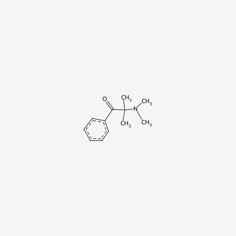 CN(C)C(C)(C)C(=O)c1ccccc1